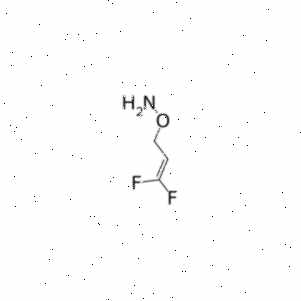 NOCC=C(F)F